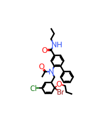 CCCNC(=O)c1ccc(-c2ccccc2)c(N(CC2C=C(Cl)C=CC2(Br)OCCC)C(C)=O)c1